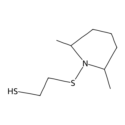 CC1CCCC(C)N1SCCS